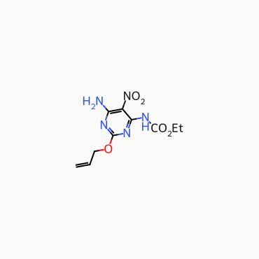 C=CCOc1nc(N)c([N+](=O)[O-])c(NC(=O)OCC)n1